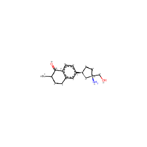 CCCCC1CCc2cc([C@H]3CC[C@](N)(CO)C3)ccc2C1=O